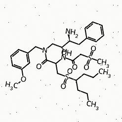 CCCC(CCC)S(=O)(=O)CC(NC(=O)CS(C)(=O)=O)C(=O)N(Cc1cccc(OC)c1)C[C@@H](O)[C@@H](N)Cc1ccccc1